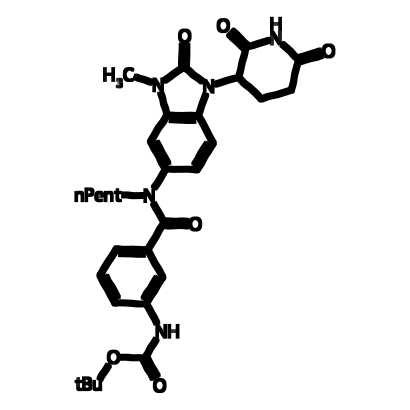 CCCCCN(C(=O)c1cccc(NC(=O)OC(C)(C)C)c1)c1ccc2c(c1)n(C)c(=O)n2C1CCC(=O)NC1=O